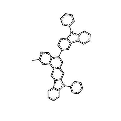 Cc1cc2c(cn1)c(-c1ccc3c(c1)c1ccccc1n3-c1ccccc1)cc1cc3c(cc12)c1ccccc1n3-c1ccccc1